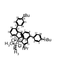 CCCCc1ccc(-c2cccc3c2C=C(CCC)[CH]3[Zr]([Cl])([Cl])([CH]2C=Cc3c(-c4ccc(C(C)(C)C)cc4)cccc32)[SiH](C)C)cc1